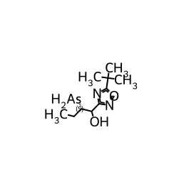 CC[C@H]([AsH2])C(O)c1noc(C(C)(C)C)n1